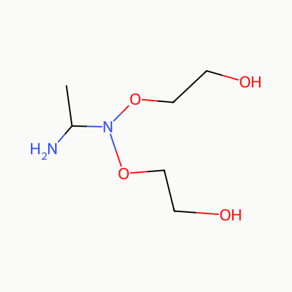 CC(N)N(OCCO)OCCO